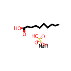 CCCCCCCCCC(=O)O.O=S(=O)(O)O.[NaH]